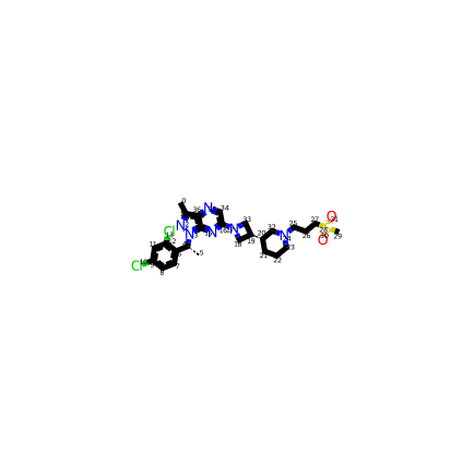 Cc1nn([C@H](C)c2ccc(Cl)cc2Cl)c2nc(N3CC([C@H]4CCCN(CCCS(C)(=O)=O)C4)C3)cnc12